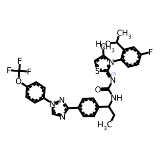 CCC(NC(=O)/N=c1\scc(C)n1-c1ccc(F)cc1C(C)C)c1ccc(-c2ncn(-c3ccc(OC(F)(F)F)cc3)n2)cc1